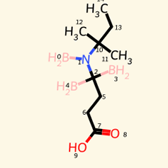 BN(C(B)(B)CCC(=O)O)C(C)(C)CC